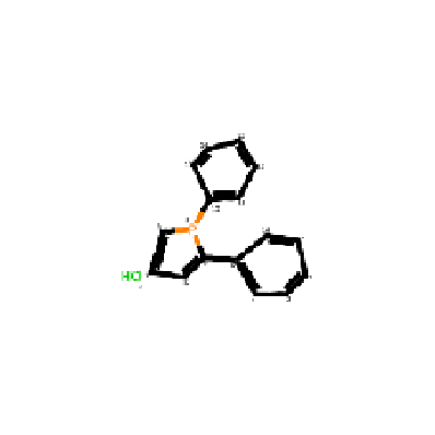 Cl.c1ccc(-c2cccp2-c2ccccc2)cc1